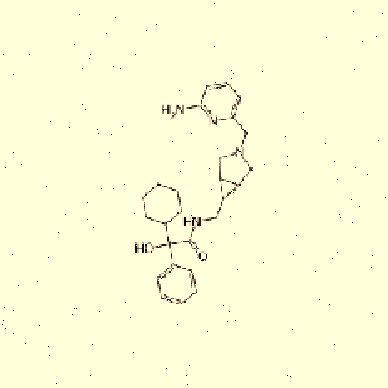 Nc1cccc(CN2CC3C(CNC(=O)C(O)(c4ccccc4)C4CCCCC4)C3C2)n1